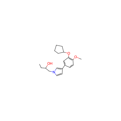 CCC(O)Cn1ccc(-c2ccc(OC)c(OC3CCCC3)c2)c1